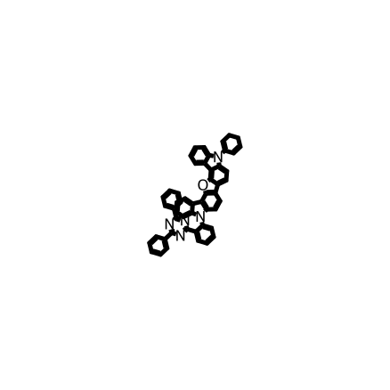 C1=CC(n2c3ccccc3c3c4oc5c(ccc6c5c5ccccc5n6-c5ccccc5-c5nc(-c6ccccc6)nc(-c6ccccc6)n5)c4ccc32)=CCC1